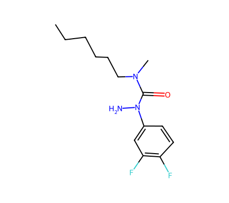 CCCCCCN(C)C(=O)N(N)c1ccc(F)c(F)c1